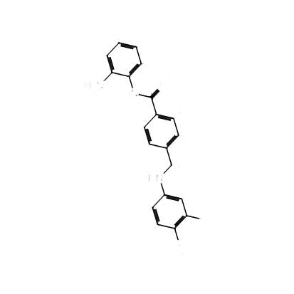 Nc1ccccc1NC(=O)c1ccc(CNc2ccc(F)c(Cl)c2)cc1